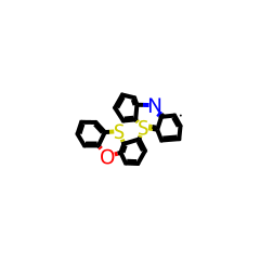 [c]1cccc2c1=Nc1ccccc1S=2c1cccc2c1Sc1ccccc1O2